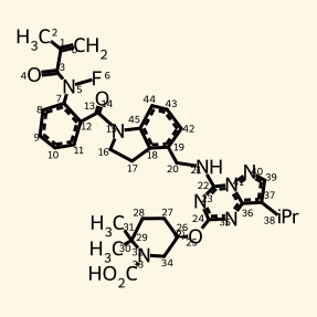 C=C(C)C(=O)N(F)c1ccccc1C(=O)N1CCc2c(CNc3nc(O[C@@H]4CCC(C)(C)N(C(=O)O)C4)nc4c(C(C)C)cnn34)cccc21